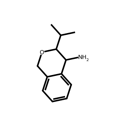 CC(C)C1OCc2ccccc2C1N